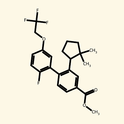 COC(=O)c1ccc(-c2cc(OCC(F)(F)F)ccc2F)c(C2CCCC2(C)C)c1